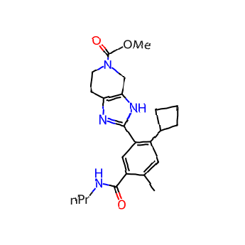 CCCNC(=O)c1cc(-c2nc3c([nH]2)CN(C(=O)OC)CC3)c(C2CCC2)cc1C